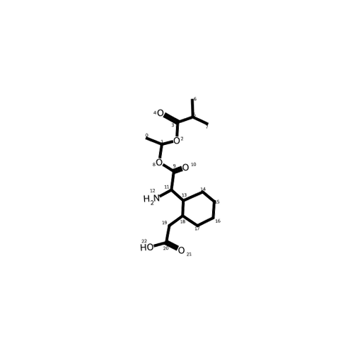 CC(OC(=O)C(C)C)OC(=O)C(N)C1CCCCC1CC(=O)O